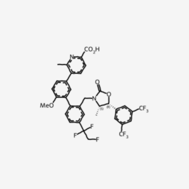 COc1ccc(-c2ccc(C(=O)O)nc2C)cc1-c1ccc(C(F)(F)CF)cc1CN1C(=O)O[C@H](c2cc(C(F)(F)F)cc(C(F)(F)F)c2)[C@@H]1C